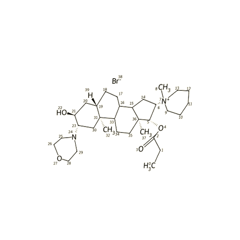 CCC(=O)O[C@H]1[C@@H]([N+]2(C)CCCCC2)CC2C3CC[C@H]4C[C@H](O)[C@@H](N5CCOCC5)C[C@]4(C)C3CC[C@@]21C.[Br-]